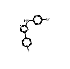 Fc1ccc(-c2csc(Nc3ccc(Br)cc3)n2)cc1